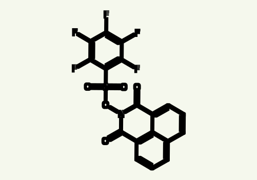 O=C1c2cccc3cccc(c23)C(=O)N1OS(=O)(=O)c1c(F)c(F)c(F)c(F)c1F